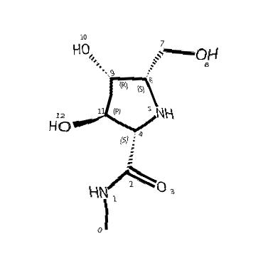 CNC(=O)[C@H]1N[C@@H](CO)[C@@H](O)[C@@H]1O